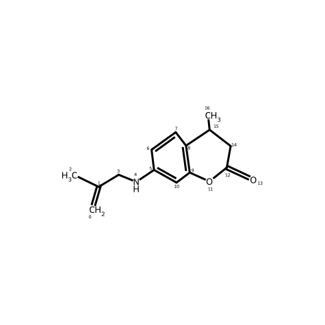 C=C(C)CNc1ccc2c(c1)OC(=O)CC2C